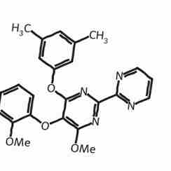 COc1ccccc1Oc1c(OC)nc(-c2ncccn2)nc1Oc1cc(C)cc(C)c1